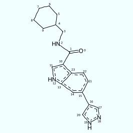 O=C(NCC1CCCCC1)c1c[nH]c2cc(-c3cn[nH]c3)ccc12